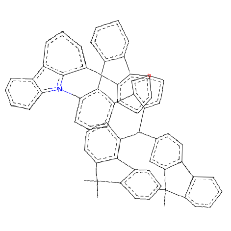 CC1(C)c2ccccc2-c2ccc(C(c3ccccc3-c3cccc4c3C3(c5ccccc5-c5ccccc53)c3cccc5c6ccccc6n-4c35)c3cccc4c3-c3ccccc3C4(C)C)cc21